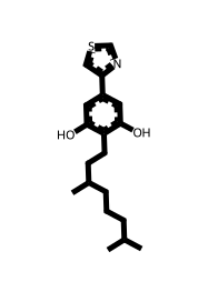 CC(C)CCCC(C)CCc1c(O)cc(-c2cscn2)cc1O